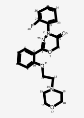 O=C1COC(c2ccccc2OCCN2CCOCC2)=NN1c1ccccc1F